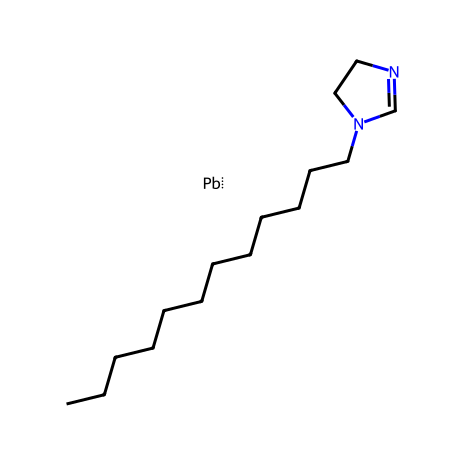 CCCCCCCCCCCCN1C=NCC1.[Pb]